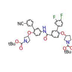 CC(C)(C)OC(=O)N1CC[C@H](Oc2ccc(NC(=O)c3ccc(O[C@H]4CCN(C(=O)OC(C)(C)C)C4)c(-c4ccc(F)c(F)c4)c3)cc2-c2cccc(C#N)c2)C1